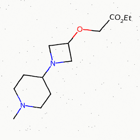 CCOC(=O)COC1CN(C2CCN(C)CC2)C1